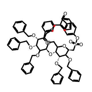 O=Cc1ccc(OS(=O)(=O)C[C@@H]2OC(COCc3ccccc3)[C@@H](O[C@@H]3OC(COCc4ccccc4)[C@@H](OCc4ccccc4)[C@@H](OCc4ccccc4)C3OCc3ccccc3)[C@@H](OCc3ccccc3)C2OCc2ccccc2)cc1